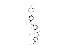 CC(C)n1c(Nc2ccc(Cl)nc2)nc2cnc(Nc3ccc(N4CCN(C)CC4)cc3)nc21